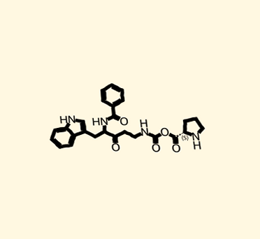 O=C(NCCC(=O)C(Cc1c[nH]c2ccccc12)NC(=O)c1ccccc1)OC(=O)[C@@H]1CCCN1